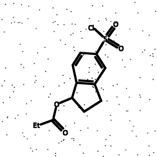 CCC(=O)OC1CCc2cc(S(=O)(=O)Cl)ccc21